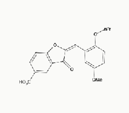 CCCOc1ccc(OC)cc1C=C1Oc2ccc(C(=O)O)cc2C1=O